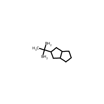 BC(B)(C)C1CC2CCCC2C1